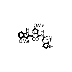 COc1cccc2[nH]c(C(=O)N3C[C@H](OC)C[C@H]3C(=O)N[C@H](C#N)C[C@@H]3CCNC3=O)cc12